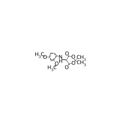 COc1ccc(NC=C2C(=O)OC(C)(C)OC2=O)c(OC)c1